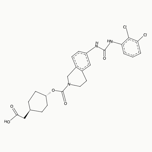 O=C(O)C[C@H]1CC[C@H](OC(=O)N2CCc3cc(NC(=O)Nc4cccc(Cl)c4Cl)ccc3C2)CC1